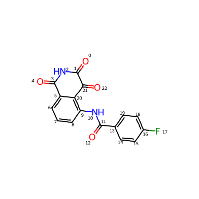 O=C1NC(=O)c2cccc(NC(=O)c3ccc(F)cc3)c2C1=O